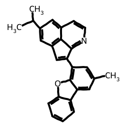 Cc1cc(C2=Cc3cc(C(C)C)cc4ccnc2c34)c2oc3ccccc3c2c1